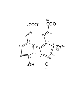 O=C([O-])/C=C/c1ccc(O)cc1.O=C([O-])/C=C/c1ccc(O)cc1.[Zn+2]